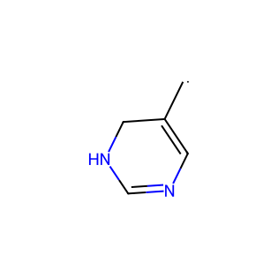 [CH2]C1=CN=CNC1